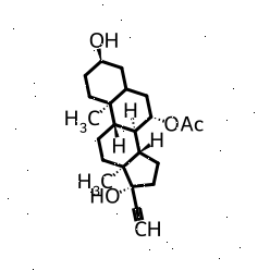 C#C[C@]1(O)CC[C@H]2[C@@H]3[C@@H](OC(C)=O)CC4C[C@H](O)CC[C@]4(C)[C@H]3CC[C@@]21C